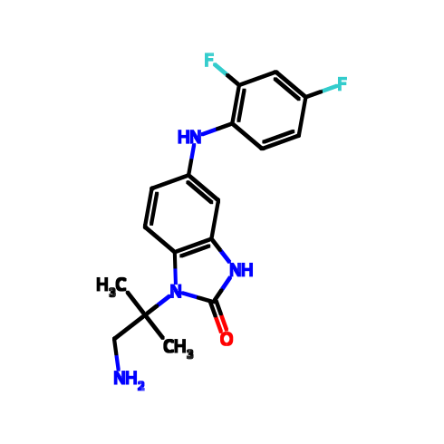 CC(C)(CN)n1c(=O)[nH]c2cc(Nc3ccc(F)cc3F)ccc21